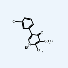 CCn1cc(-c2cccc(Cl)c2)c(=O)c(C(=O)O)c1C